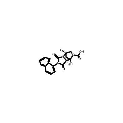 O=C1[C@@H]2[C@@H]3C[C@@H](CN3C(=O)O)N2C(=O)N1c1cccc2ccccc12